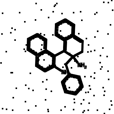 Nc1ccc2ccccc2c1C1=c2ccccc2=CCC1(N)Cc1ccccc1